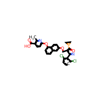 Cc1nc(Oc2cccc3cc(OCc4c(-c5c(Cl)cccc5Cl)noc4P4CC4)ccc23)ccc1C(=O)O